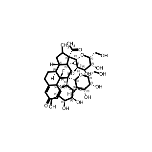 CC(=O)[C@@]1([C@@H]2O[C@H](CO)[C@H](O)[C@H](O)[C@H]2O)C(C)C[C@H]2[C@@H]3CCC4=CC(=O)C=C[C@]4(C)[C@@]3(F)C([C@@H]3O[C@H](CO)[C@H](O)[C@H](O)[C@H]3O)([C@@H]3O[C@H](CO)[C@H](O)[C@H](O)[C@H]3O)C[C@@]21C